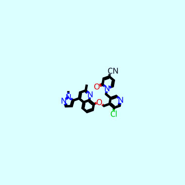 Cc1cc(-c2ccnn2C)c2cccc(OCc3c(Cl)cncc3Cn3ccc(C#N)cc3=O)c2n1